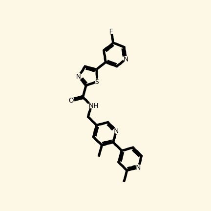 Cc1cc(-c2ncc(CNC(=O)c3ncc(-c4cncc(F)c4)s3)cc2C)ccn1